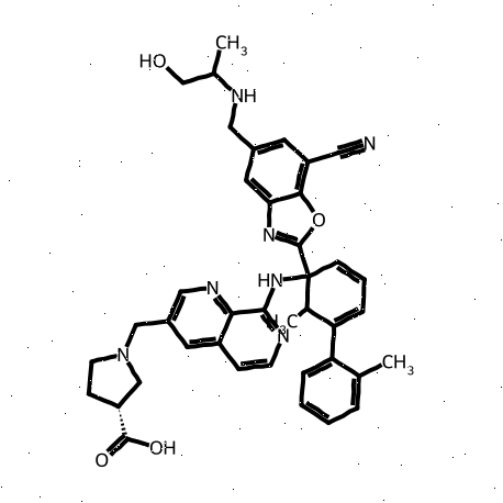 Cc1ccccc1C1=CC=CC(Nc2nccc3cc(CN4CC[C@@H](C(=O)O)C4)cnc23)(c2nc3cc(CNC(C)CO)cc(C#N)c3o2)C1C